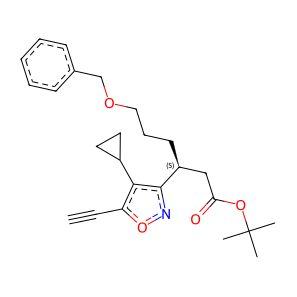 C#Cc1onc([C@@H](CCCOCc2ccccc2)CC(=O)OC(C)(C)C)c1C1CC1